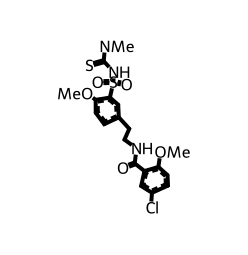 CNC(=S)NS(=O)(=O)c1cc(CCNC(=O)c2cc(Cl)ccc2OC)ccc1OC